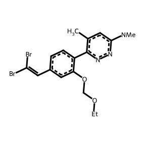 CCOCOc1cc(C=C(Br)Br)ccc1-c1nnc(NC)cc1C